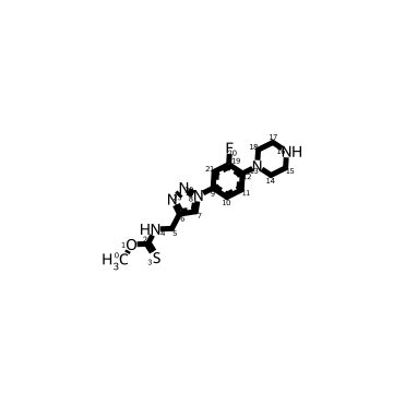 COC(=S)NCc1cn(-c2ccc(N3CCNCC3)c(F)c2)nn1